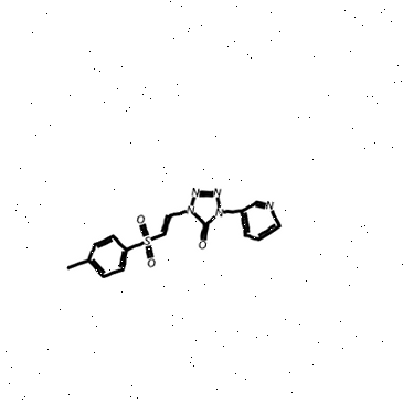 Cc1ccc(S(=O)(=O)/C=C/n2nnn(-c3cccnc3)c2=O)cc1